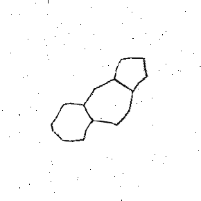 C1CCC2CC3CCCC3CCC2C1